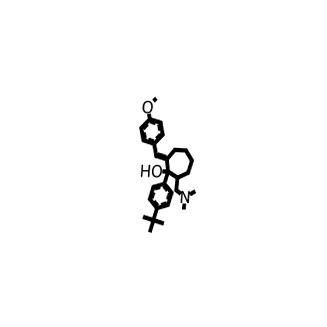 COc1ccc(/C=C2\CCCCC(CN(C)C)C2(O)c2ccc(C(C)(C)C)cc2)cc1